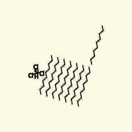 CCCCCCCCCC.CCCCCCCCCC.CCCCCCCCCC.CCCCCCCCCC.CCCCCCCCCC.CCCCCCCCCC.CCCCCCCCCC.CCCCCCCCCC.Cl[SiH](Cl)Cl